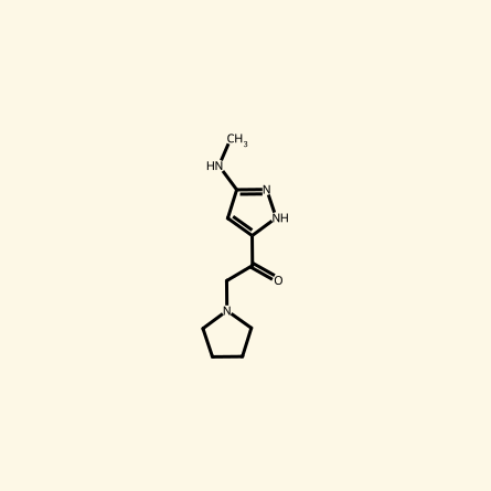 CNc1cc(C(=O)CN2CCCC2)[nH]n1